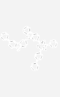 c1ccc(-c2ccc(-c3nc(-c4ccccc4)nc(-c4ccc5c6ccccc6n(-c6ccc7sc8ccc(-c9ccccc9)cc8c7c6)c5c4)n3)cc2)cc1